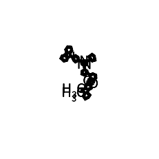 CC1(C)c2ccccc2-c2cc3c(cc21)Oc1c(cccc1-c1cccc(-c2nc(-c4ccccc4)nc(-c4ccc(-n5c6ccccc6c6ccccc65)cc4)n2)c1)O3